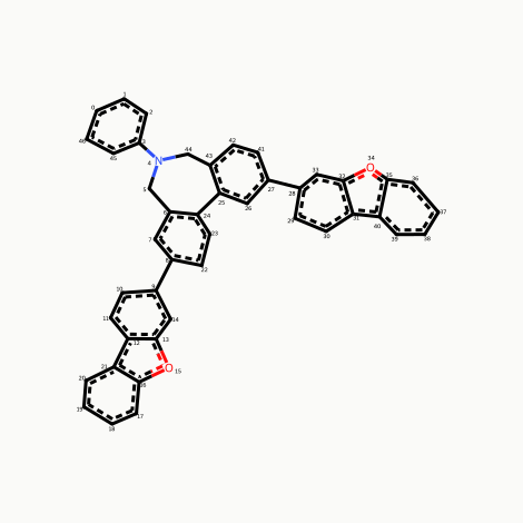 c1ccc(N2Cc3cc(-c4ccc5c(c4)oc4ccccc45)ccc3-c3cc(-c4ccc5c(c4)oc4ccccc45)ccc3C2)cc1